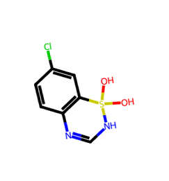 OS1(O)NC=Nc2ccc(Cl)cc21